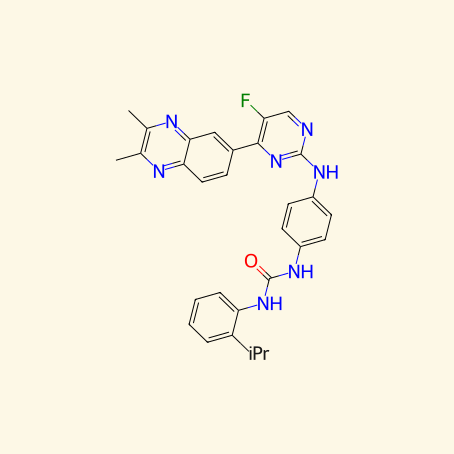 Cc1nc2ccc(-c3nc(Nc4ccc(NC(=O)Nc5ccccc5C(C)C)cc4)ncc3F)cc2nc1C